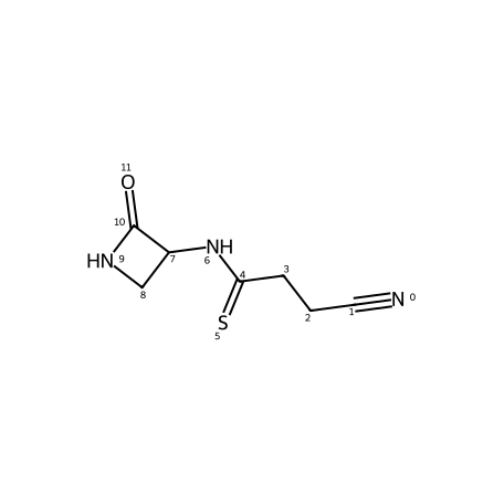 N#CCCC(=S)NC1CNC1=O